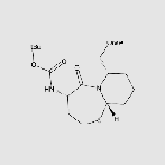 COC[C@@H]1CCC[C@@H]2SCC[C@H](NC(=O)OC(C)(C)C)C(=O)N12